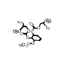 CCCCC(CC)COC(=O)OC1CCCC(OC(=O)O)C1OC(=O)OCC(CC)CCCC